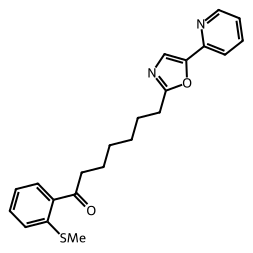 CSc1ccccc1C(=O)CCCCCCc1ncc(-c2ccccn2)o1